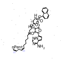 CCCCC/C=C\C/C=C\CCCCCCCCOC(=O)[C@H](C)NP(=O)(OC[C@H]1O[C@@H](c2ccc3c(N)ncnn23)[C@H](O)[C@@H]1O)Oc1cccc2ccccc12